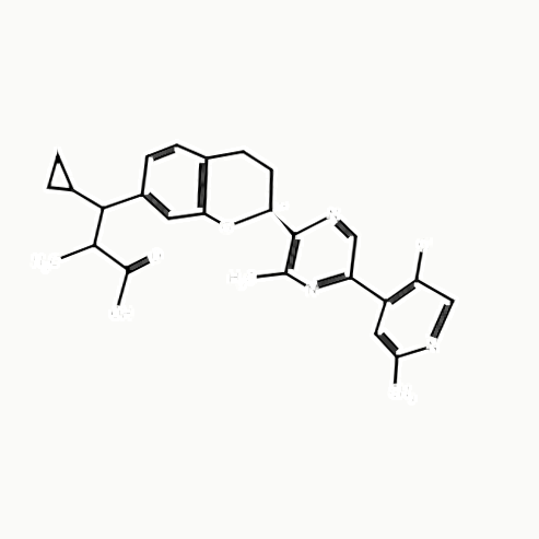 Cc1cc(-c2cnc([C@@H]3CCc4ccc(C(C5CC5)C(C)C(=O)O)cc4O3)c(C)n2)c(Cl)cn1